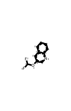 FC(F)Oc1cnc2[c]cccc2c1